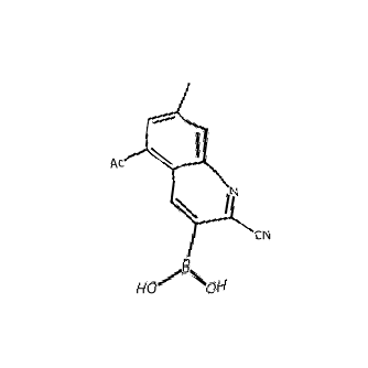 CC(=O)c1cc(C)cc2nc(C#N)c(B(O)O)cc12